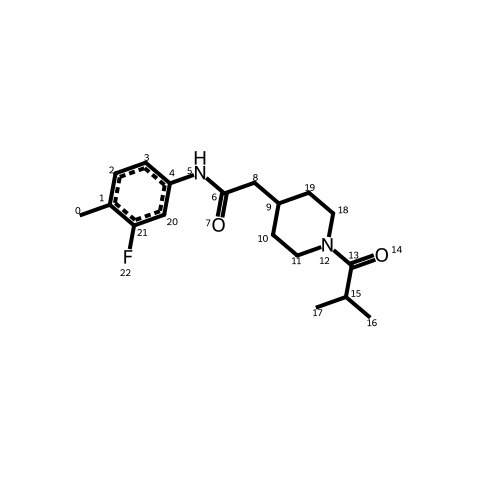 Cc1ccc(NC(=O)CC2CCN(C(=O)C(C)C)CC2)cc1F